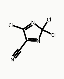 N#CC1=NC(Cl)(Cl)N=C1Cl